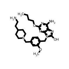 CCCCOc1nc(N)c2nc(O)n(Cc3ccc(CN4CCC(CCN)CC4)cc3OC)c2n1